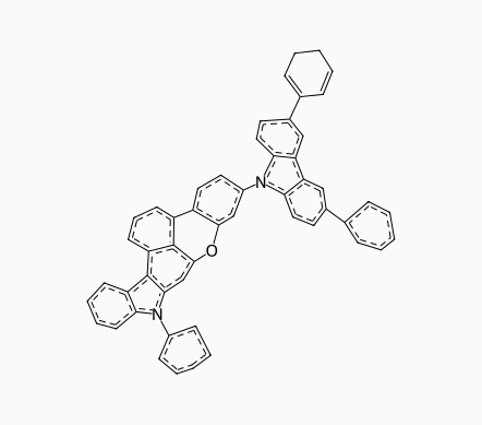 C1=CC(c2ccc3c(c2)c2cc(-c4ccccc4)ccc2n3-c2ccc3c(c2)Oc2cc4c(c5cccc-3c25)c2ccccc2n4-c2ccccc2)=CCC1